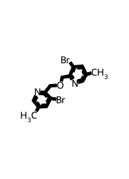 Cc1cnc(COCc2ncc(C)cc2Br)c(Br)c1